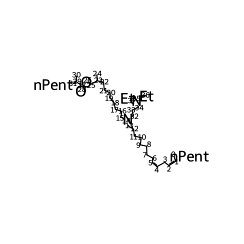 CCCCC/C=C\C/C=C\CCCCCCCCN(CCCCCCCCC(C)COC(=O)C(C)CCCCC)CCCN(CC)CC